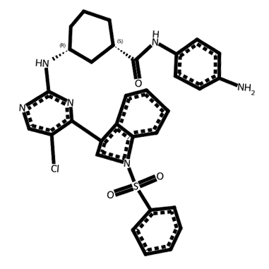 Nc1ccc(NC(=O)[C@H]2CCC[C@@H](Nc3ncc(Cl)c(-c4cn(S(=O)(=O)c5ccccc5)c5ccccc45)n3)C2)cc1